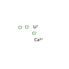 [Ca+2].[Cl-].[Cl-].[Cl-].[Li+]